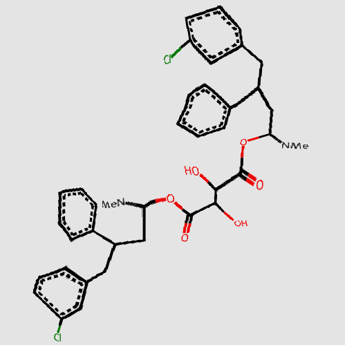 CNC(CC(Cc1cccc(Cl)c1)c1ccccc1)OC(=O)C(O)C(O)C(=O)OC(CC(Cc1cccc(Cl)c1)c1ccccc1)NC